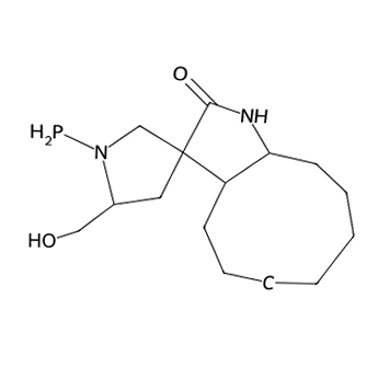 O=C1NC2CCCCCCCC2C12CC(CO)N(P)C2